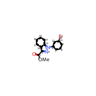 COC(=O)c1nn(-c2cccc(Br)c2)c2ccccc12